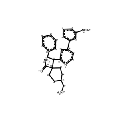 CC(=O)Nc1cccc(-c2ccnc(C(Cc3ccccc3)C3(C(N)=O)CCC(CN)CC3)c2)c1